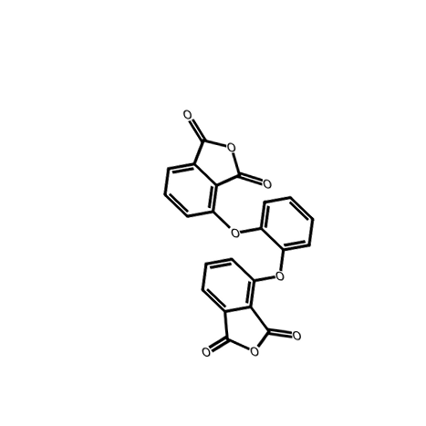 O=C1OC(=O)c2c(Oc3ccccc3Oc3cccc4c3C(=O)OC4=O)cccc21